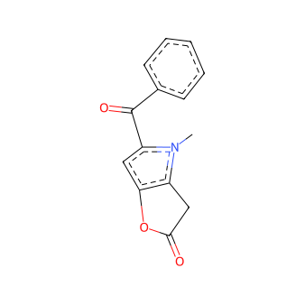 Cn1c(C(=O)c2ccccc2)cc2c1CC(=O)O2